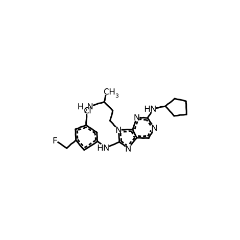 CC(N)CCn1c(Nc2cc(Cl)cc(CF)c2)nc2cnc(NC3CCCC3)nc21